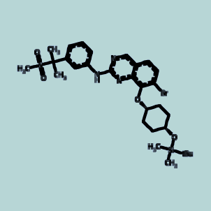 CC(C)(C)[Si](C)(C)O[C@H]1CC[C@@H](Oc2c(Br)ccc3cnc(Nc4cccc(C(C)(C)S(C)(=O)=O)c4)nc23)CC1